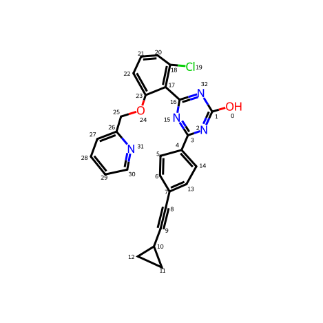 Oc1nc(-c2ccc(C#CC3CC3)cc2)nc(-c2c(Cl)cccc2OCc2ccccn2)n1